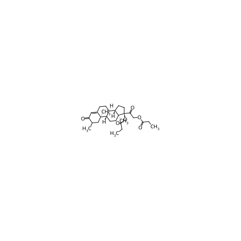 CCC(=O)OCC(=O)[C@@]1(OC(=O)CC)CC[C@H]2[C@@H]3CCC4=CC(=O)C(C)C[C@]4(C)[C@H]3CC[C@@]21C